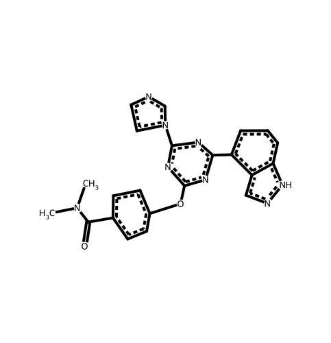 CN(C)C(=O)c1ccc(Oc2nc(-c3cccc4[nH]ncc34)nc(-n3ccnc3)n2)cc1